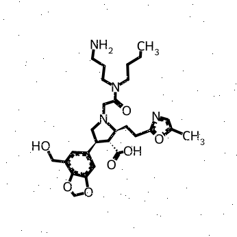 CCCCN(CCCN)C(=O)CN1C[C@H](c2cc(CO)c3c(c2)OCO3)[C@@H](C(=O)O)[C@@H]1CCc1ncc(C)o1